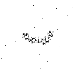 O=C(Nc1ncc2ccc(-c3nncs3)cc2n1)c1ccc(OC2CCNCC2)cc1